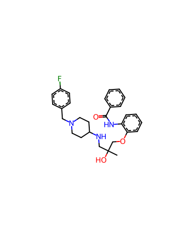 CC(O)(CNC1CCN(Cc2ccc(F)cc2)CC1)COc1ccccc1NC(=O)c1ccccc1